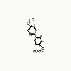 [CH2]CCCCCCCOc1ccc(-c2ncc(OCCCCCCCC)cn2)cc1